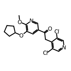 COc1ncc(C(=O)Cc2c(Cl)cncc2Cl)cc1OC1CCCC1